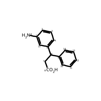 Nc1cccc(C(CC(=O)O)c2ccccc2)c1